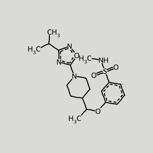 CNS(=O)(=O)c1[c]ccc(OC(C)C2CCN(c3nc(C(C)C)no3)CC2)c1